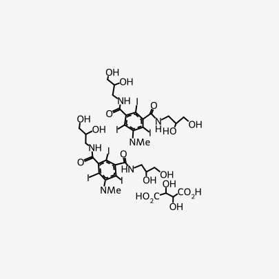 CNc1c(I)c(C(=O)NCC(O)CO)c(I)c(C(=O)NCC(O)CO)c1I.CNc1c(I)c(C(=O)NCC(O)CO)c(I)c(C(=O)NCC(O)CO)c1I.O=C(O)C(O)C(O)C(=O)O